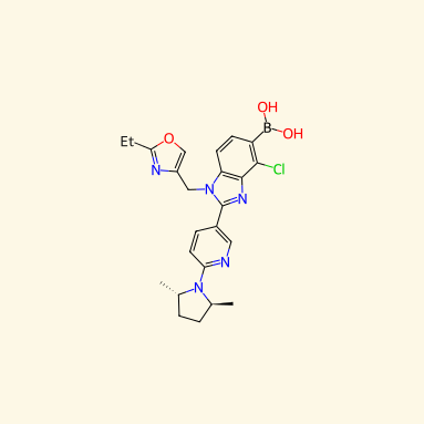 CCc1nc(Cn2c(-c3ccc(N4[C@@H](C)CC[C@@H]4C)nc3)nc3c(Cl)c(B(O)O)ccc32)co1